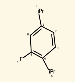 [CH2]C(C)c1ccc(C(C)C)c(F)c1